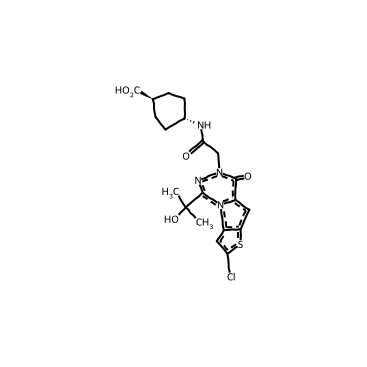 CC(C)(O)c1nn(CC(=O)N[C@H]2CC[C@H](C(=O)O)CC2)c(=O)c2cc3sc(Cl)cc3n12